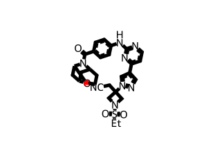 CCS(=O)(=O)N1CC(CC#N)(n2cc(-c3ccnc(Nc4ccc(C(=O)N5C6CC7CC5CC(C6)O7)cc4)n3)cn2)C1